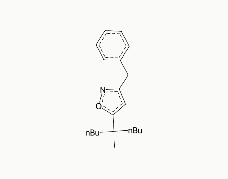 CCCCC(C)(CCCC)c1cc(Cc2ccccc2)no1